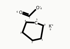 C1CCCCC1.O=C[O-].[K+]